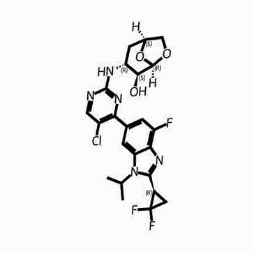 CC(C)n1c([C@H]2CC2(F)F)nc2c(F)cc(-c3nc(N[C@@H]4C[C@H]5CO[C@H](O5)[C@H]4O)ncc3Cl)cc21